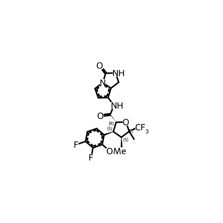 COc1c([C@H]2[C@H](C(=O)Nc3ccn4c3CNC4=O)O[C@@](C)(C(F)(F)F)[C@H]2C)ccc(F)c1F